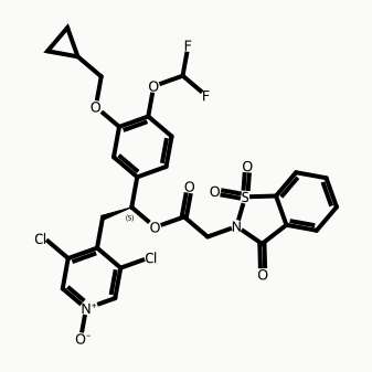 O=C(CN1C(=O)c2ccccc2S1(=O)=O)O[C@@H](Cc1c(Cl)c[n+]([O-])cc1Cl)c1ccc(OC(F)F)c(OCC2CC2)c1